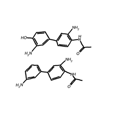 CC(=O)Nc1ccc(-c2ccc(O)c(N)c2)cc1N.CC(=O)Nc1ccc(-c2cccc(N)c2)cc1N